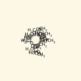 CC[C@H]1OC(=O)[C@H](C)[C@@H](O[C@H]2C[C@@](C)(OC)[C@@H](O)[C@H](C)O2)[C@H](C)[C@@H](O[C@@H]2O[C@H](C)C[C@H](N(C)C)[C@H]2Oc2ccc(OC)c(OC(C)C)c2)[C@](C)(O)C[C@@H](C)CN(C)[C@H](C)[C@@H](O)[C@]1(C)O